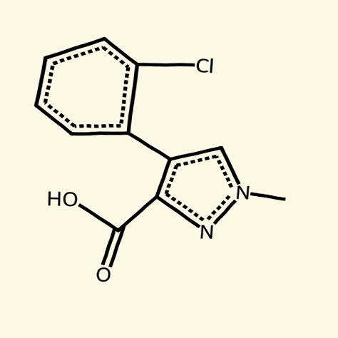 Cn1cc(-c2ccccc2Cl)c(C(=O)O)n1